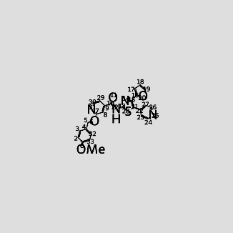 COc1ccc(COc2cc(C(=O)Nc3nc(-c4ccco4)c(-c4ccncc4)s3)ccn2)cc1